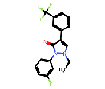 CCn1cc(-c2cccc(C(F)(F)F)c2)c(=O)n1-c1cccc(F)c1